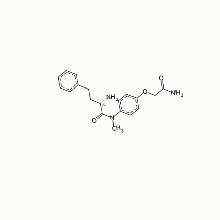 CN(C(=O)[C@@H](N)CCc1ccccc1)c1ccc(OCC(N)=O)cc1